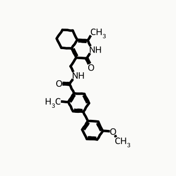 COc1cccc(-c2ccc(C(=O)NCc3c4c(c(C)[nH]c3=O)CCCC4)c(C)c2)c1